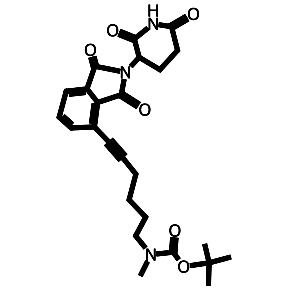 CN(CCCCC#Cc1cccc2c1C(=O)N(C1CCC(=O)NC1=O)C2=O)C(=O)OC(C)(C)C